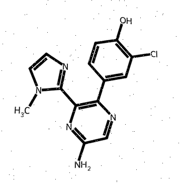 Cn1ccnc1-c1nc(N)cnc1-c1ccc(O)c(Cl)c1